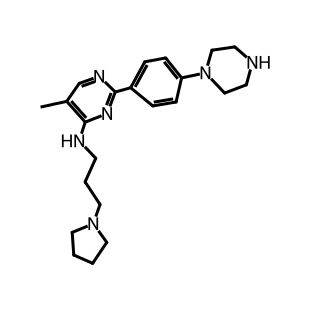 Cc1cnc(-c2ccc(N3CCNCC3)cc2)nc1NCCCN1CCCC1